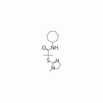 CN1CCN=C1SC(C)(C)C(=O)NC1CCCCCC1